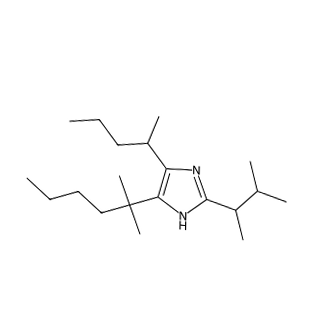 CCCCC(C)(C)c1[nH]c(C(C)C(C)C)nc1C(C)CCC